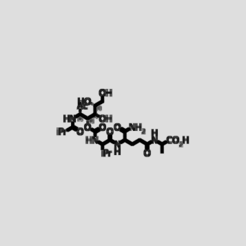 CC(=O)[C@H](NC(=O)C(C)C)[C@@H](OC(=O)NC(C(=O)NC(CCC(=O)NC(C)C(=O)O)C(N)=O)C(C)C)[C@H](O)[C@H](O)CO